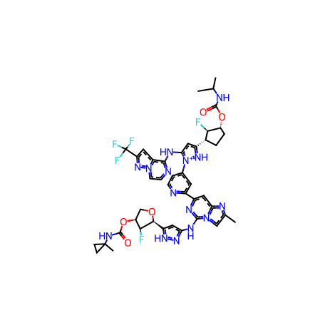 Cc1cn2c(Nc3cc([C@@H]4OC[C@H](OC(=O)NC5(C)CC5)[C@@H]4F)[nH]n3)nc(-c3cc(-[n+]4[nH]c([C@H]5CC[C@@H](OC(=O)NC(C)C)[C@@H]5F)cc4Nc4nccn5nc(C(F)(F)F)cc45)ccn3)cc2n1